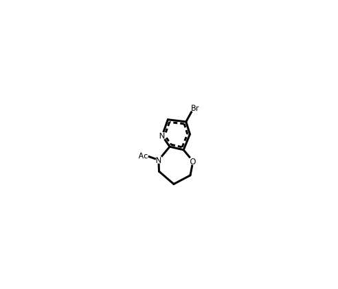 CC(=O)N1CCCOc2cc(Br)cnc21